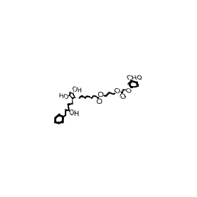 O=Cc1cccc(OCC(=O)OCCCOC(=O)CCC/C=C/C[C@@H]2[C@@H](CC[C@@H](O)CCc3ccccc3)[C@H](O)C[C@@H]2O)c1